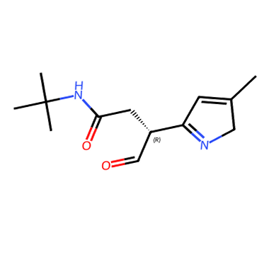 CC1=CC([C@H](C=O)CC(=O)NC(C)(C)C)=NC1